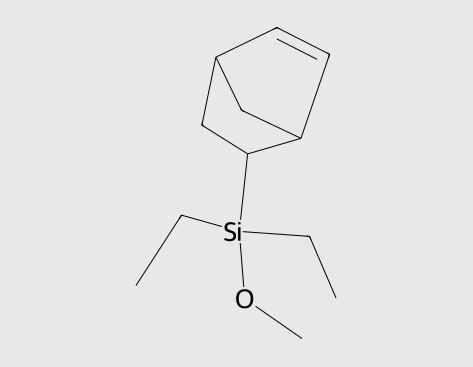 CC[Si](CC)(OC)C1CC2C=CC1C2